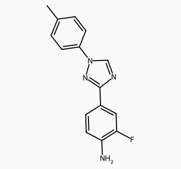 Cc1ccc(-n2cnc(-c3ccc(N)c(F)c3)n2)cc1